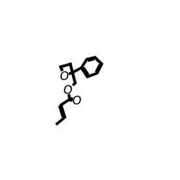 CC=CC(=O)OCC1(c2ccccc2)CCO1